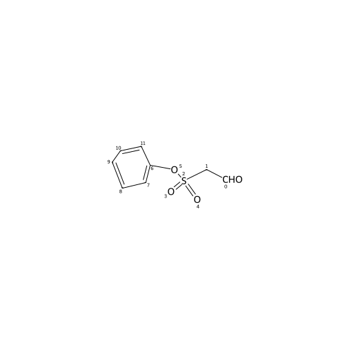 O=CCS(=O)(=O)Oc1ccccc1